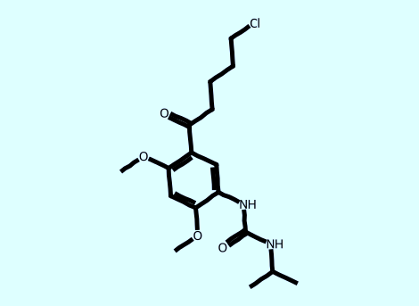 COc1cc(OC)c(C(=O)CCCCCl)cc1NC(=O)NC(C)C